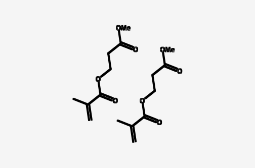 C=C(C)C(=O)OCCC(=O)OC.C=C(C)C(=O)OCCC(=O)OC